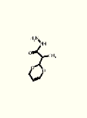 CC(C(=O)NN)C1OC=CCO1